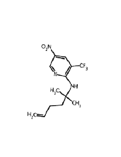 C=CCCC(C)(C)Nc1ncc([N+](=O)[O-])cc1C(F)(F)F